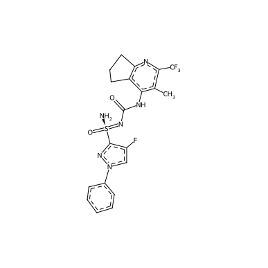 Cc1c(C(F)(F)F)nc2c(c1NC(=O)N=[S@@](N)(=O)c1nn(-c3ccccc3)cc1F)CCC2